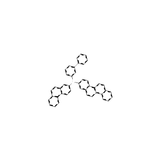 c1ccc(-c2cccc(N(c3ccc4c(ccc5ccccc54)c3)c3ccc4c(ccc5c6ccccc6ccc45)c3)c2)cc1